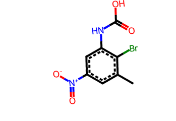 Cc1cc([N+](=O)[O-])cc(NC(=O)O)c1Br